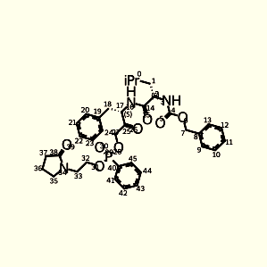 CC(C)C[C@H](NC(=O)OCc1ccccc1)C(=O)N[C@@H](Cc1ccccc1)C(=O)COP(=O)(OCCN1CCCC1=O)c1ccccc1